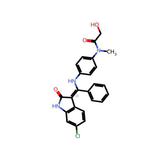 CN(C(=O)CO)c1ccc(N/C(=C2\C(=O)Nc3cc(Cl)ccc32)c2ccccc2)cc1